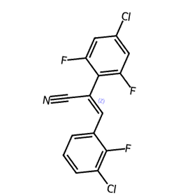 N#C/C(=C\c1cccc(Cl)c1F)c1c(F)cc(Cl)cc1F